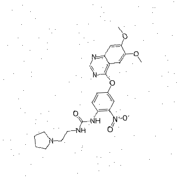 COc1cc2ncnc(Oc3ccc(NC(=O)NCCN4CCCC4)c([N+](=O)[O-])c3)c2cc1OC